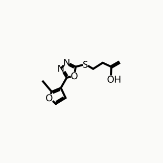 C=C(O)CCSc1nnc(-c2ccoc2C)o1